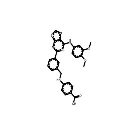 COc1ccc(Nc2nc(-c3cccc(CNc4ccc(C(=O)O)cc4)c3)nc3scnc23)cc1OC